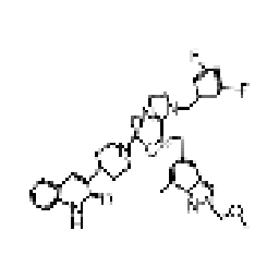 COCn1cc2cc(C[C@@H](OC(=O)N3CCC(c4cc5ccccc5[nH]c4=O)CC3)c3nccn3Cc3cc(F)cc(F)c3)cc(C)c2n1